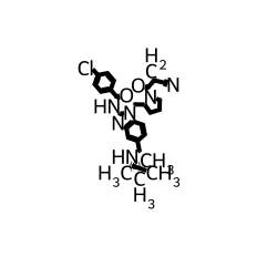 C=C(C#N)C(=O)N1CCCC1Cn1c(NC(=O)c2ccc(Cl)cc2)nc2cc(CN[C@@H](C)C(C)(C)C)ccc21